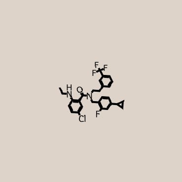 CCNc1ccc(Cl)cc1C(=O)N(CCc1cccc(C(F)(F)F)c1)Cc1ccc(C2CC2)cc1F